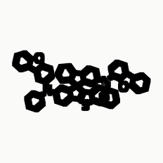 c1ccc(N(c2ccc3c(c2)C2(c4ccccc4-c4ccc(N(c5ccccc5)c5cccc6c5oc5ccccc56)cc42)c2c-3sc3ccccc23)c2ccc3oc4ccccc4c3c2)cc1